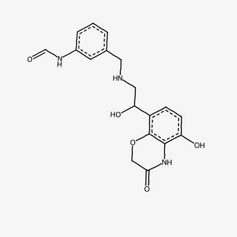 O=CNc1cccc(CNCC(O)c2ccc(O)c3c2OCC(=O)N3)c1